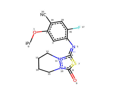 CC(C)Oc1cc(/N=c2/sc(=O)n3n2CCCC3)c(F)cc1C#N